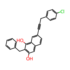 Oc1cc2ccc(C#CCc3ccc(Cl)cc3)cc2c(O)c1Cc1ccccc1